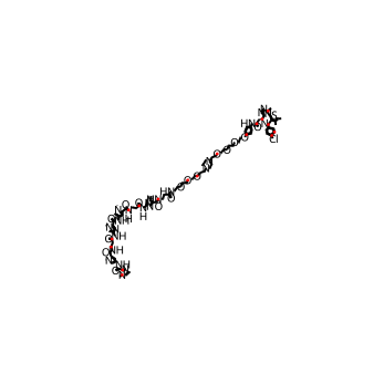 Cc1sc2c(c1C)C(c1ccc(Cl)cc1)=N[C@@H](CC(=O)Nc1ccc(OCCOCCOCCOCCN3CCN(CCOCCOCCOCCNC(=O)CCNC(=O)c4nc(NC(=O)CCNC(=O)c5cc(NC(=O)c6nc(NC(=O)CCNC(=O)c7cc(NC(=O)c8nccn8C)cn7C)cn6C)cn5C)cn4C)CC3)cc1)c1nnc(C)n1-2